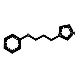 [c]1cccc(OCCCn2ccnc2)c1